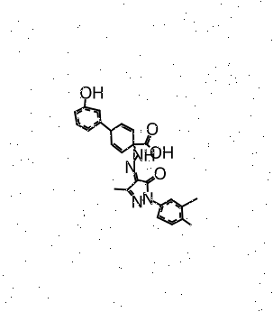 CC1=NN(c2ccc(C)c(C)c2)C(=O)/C1=N\NC1(C(=O)O)C=CC(c2cccc(O)c2)C=C1